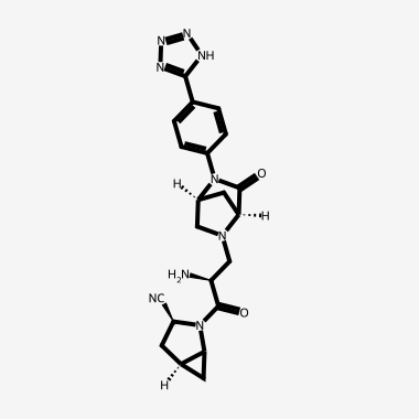 N#C[C@@H]1C[C@@H]2CC2N1C(=O)[C@@H](N)CN1C[C@@H]2C[C@H]1C(=O)N2c1ccc(-c2nnn[nH]2)cc1